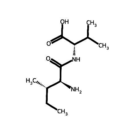 CC[C@H](C)[C@H](N)C(=O)N[C@H](C(=O)O)C(C)C